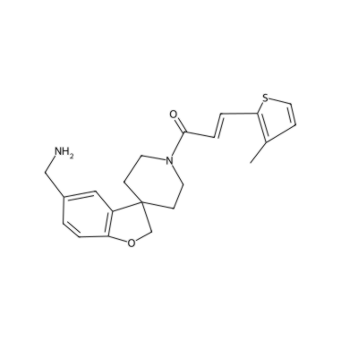 Cc1ccsc1C=CC(=O)N1CCC2(CC1)COc1ccc(CN)cc12